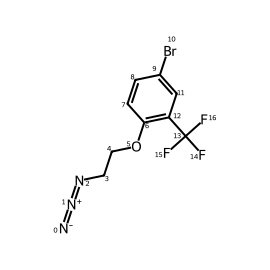 [N-]=[N+]=NCCOc1ccc(Br)cc1C(F)(F)F